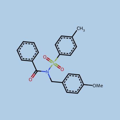 COc1ccc(CN(C(=O)c2ccccc2)S(=O)(=O)c2ccc(C)cc2)cc1